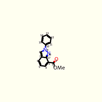 COC(=O)c1cccc2cn(-c3ccccc3)nc12